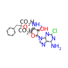 Nc1nc(Cl)nc2c1ncn2[C@@H]1O[C@H](COC(Cc2ccccc2)(C(=O)O)C(=O)O)[C@H](N)[C@H]1O